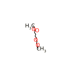 CCOCCOCCCCC(=O)OCC